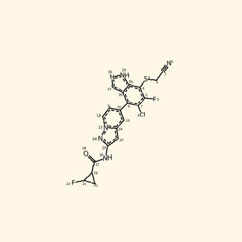 N#CCSc1c(F)c(Cl)c(-c2ccn3nc(NC(=O)C4CC4F)cc3c2)c2cn[nH]c12